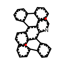 c1ccc(-c2ccccc2-c2c3ccccc3c(-c3ccccc3-c3ccccc3)c3ncccc23)cc1